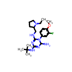 CCN1CCCC1CNC1=NC(NC(C)(C)C)=NC(N)N1c1ccc(OC)c(F)c1